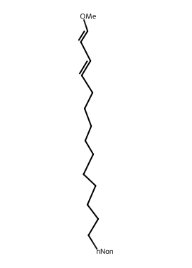 [CH2]O/C=C/C=C/CCCCCCCCCCCCCCCCCCC